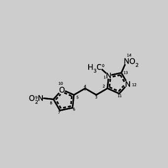 Cn1c(C[CH]c2ccc([N+](=O)[O-])o2)cnc1[N+](=O)[O-]